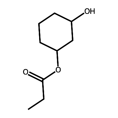 CCC(=O)OC1CCCC(O)C1